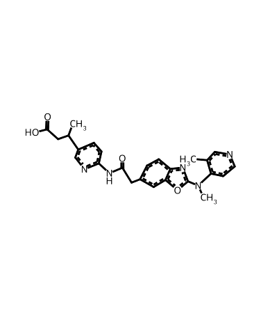 Cc1cnccc1N(C)c1nc2ccc(CC(=O)Nc3ccc(C(C)CC(=O)O)cn3)cc2o1